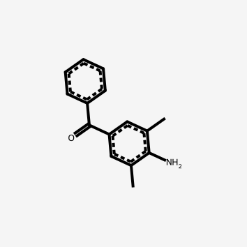 Cc1cc(C(=O)c2ccccc2)cc(C)c1N